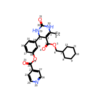 CCC1=C(C(=O)OCC2CCCCC2)C(c2cccc(OC(=O)c3ccncc3)c2)NC(=O)N1